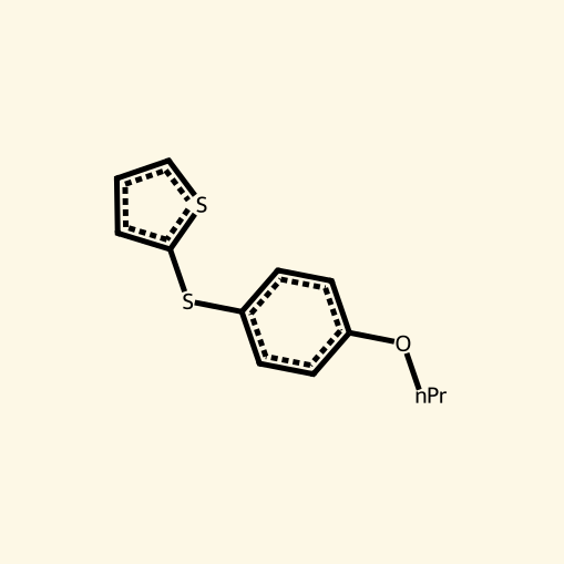 CCCOc1ccc(Sc2cccs2)cc1